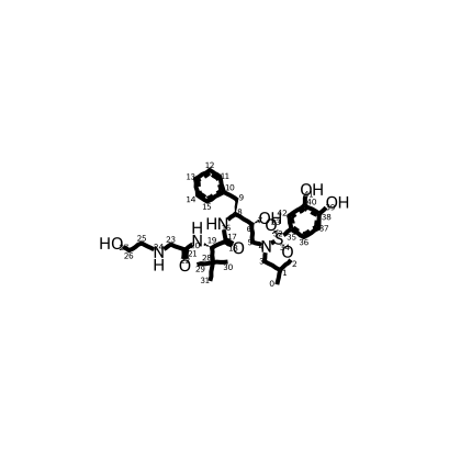 CC(C)CN(C[C@@H](O)[C@H](Cc1ccccc1)NC(=O)[C@@H](NC(=O)CNCCO)C(C)(C)C)S(=O)(=O)c1ccc(O)c(O)c1